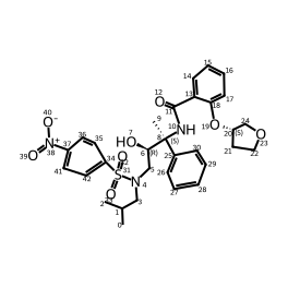 CC(C)CN(C[C@@H](O)[C@@](C)(NC(=O)c1ccccc1O[C@H]1CCOC1)c1ccccc1)S(=O)(=O)c1ccc([N+](=O)[O-])cc1